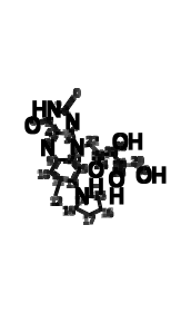 C=c1nc2c(c(=O)[nH]1)=Nc1cc(C)c(N3CCCC3)cc1N2C[C@H](O)[C@H](O)[C@H](O)CO